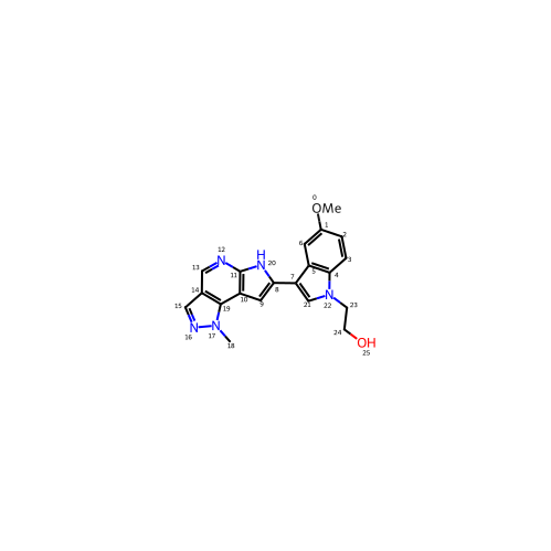 COc1ccc2c(c1)c(-c1cc3c(ncc4cnn(C)c43)[nH]1)cn2CCO